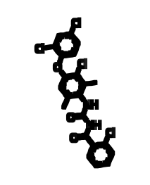 Cc1cc(Oc2ccc(Cl)cc2Cl)c(Cl)c(C)c1NC(=O)NC(=O)c1ccccc1Cl